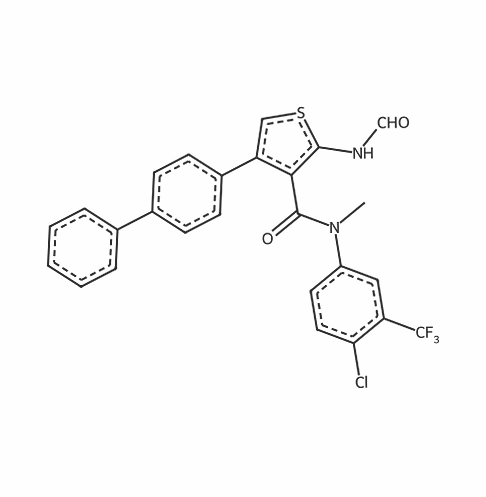 CN(C(=O)c1c(-c2ccc(-c3ccccc3)cc2)csc1NC=O)c1ccc(Cl)c(C(F)(F)F)c1